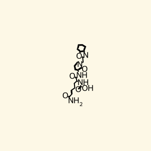 NC(=O)/C=C/CCC(NC(=O)O)C(=O)Nc1cccn(Cc2nc3ccccc3o2)c1=O